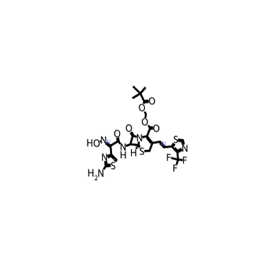 CC(C)(C)C(=O)OCOC(=O)C1=C(/C=C/c2scnc2C(F)(F)F)CS[C@@H]2C(NC(=O)/C(=N/O)c3csc(N)n3)C(=O)N12